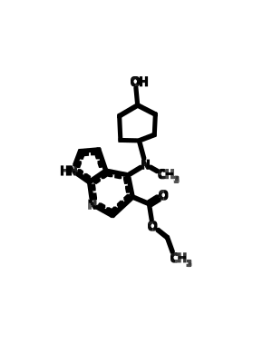 CCOC(=O)c1cnc2[nH]ccc2c1N(C)C1CCC(O)CC1